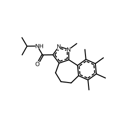 Cc1c(C)c(C)c2c(c1C)CCCc1c(C(=O)NC(C)C)nn(C)c1-2